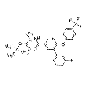 C[C@@H](NC(=O)c1cnc(Oc2ccc(C(F)(F)F)cc2)c(-c2cccc(F)c2)c1)C(=O)OC(C)(C)C